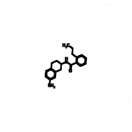 CCCc1ccccc1C(=O)NC1CCc2ccc(N)cc2C1